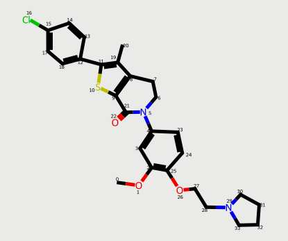 COc1cc(N2CCc3c(sc(-c4ccc(Cl)cc4)c3C)C2=O)ccc1OCCN1CCCC1